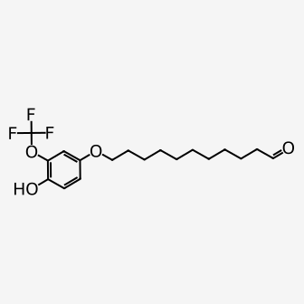 O=CCCCCCCCCCCOc1ccc(O)c(OC(F)(F)F)c1